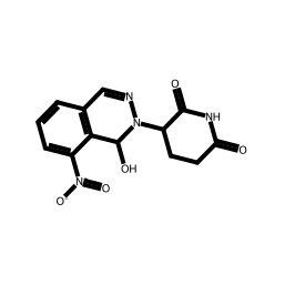 O=C1CCC(N2N=Cc3cccc([N+](=O)[O-])c3C2O)C(=O)N1